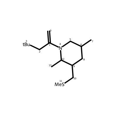 C=C(CC(C)(C)C)N1CC(C)CC(CSC)C1C